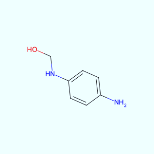 Nc1ccc(NCO)cc1